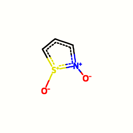 [O-][n+]1ccc[s+]1[O-]